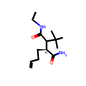 C=CCC[C@H](C(N)=O)C(C(=O)NCC)C(C)(C)C